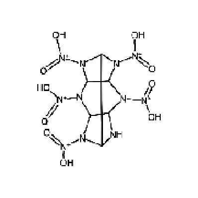 O=[N+](O)N1C2NC3C1N([N+](=O)O)C1C(N3[N+](=O)O)N([N+](=O)O)C2N1[N+](=O)O